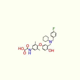 Cc1cc(NC(=O)C(=O)O)cc(C)c1Oc1ccc(O)c(CN(Cc2ccc(F)cc2)C2CCCCC2)c1